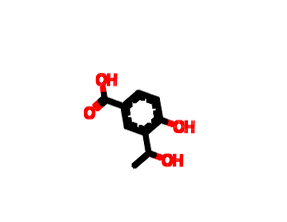 CC(O)c1cc(C(=O)O)ccc1O